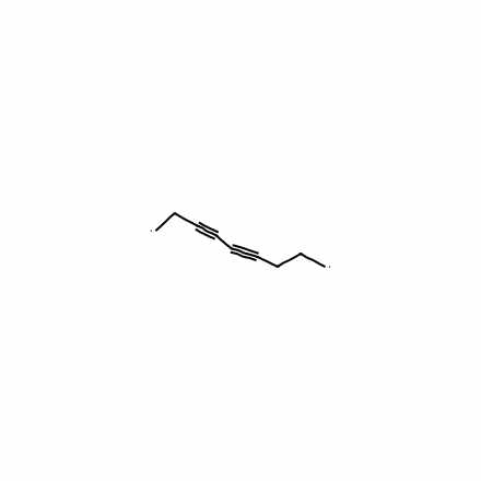 [CH2]CC#CC#CCC[CH2]